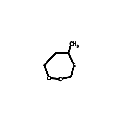 CC1CCOCCS1